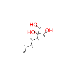 CCCCCC(O)(CO)CO